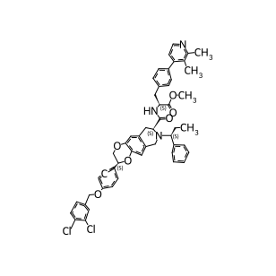 CC[C@@H](c1ccccc1)N1Cc2cc3c(cc2C[C@H]1C(=O)N[C@@H](Cc1ccc(-c2ccnc(C)c2C)cc1)C(=O)OC)OC[C@H](c1ccc(OCc2ccc(Cl)c(Cl)c2)cc1)O3